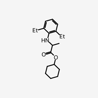 CCc1cccc(CC)c1NC(C)C(=O)OC1CCCCC1